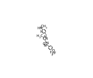 CNc1ccc(Cn2nc(-c3nc(-c4ccc(OC(F)(F)F)cc4)no3)cc2C)cn1